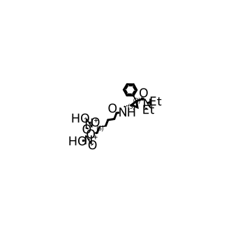 CCN(CC)C(=O)[C@]1(c2ccccc2)C[C@@H]1CNC(=O)CCC[C@@H](CO[N+](=O)O)O[N+](=O)O